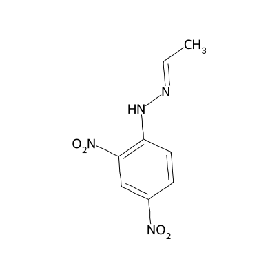 CC=NNc1ccc([N+](=O)[O-])cc1[N+](=O)[O-]